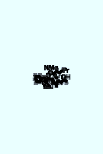 CN[C@@H](CC(C)C)C(=O)N(C)[C@@H](CC(C)CCC(C)O)C(=O)C(Cc1ccccc1)(OC(C)(C)C)C(=O)O